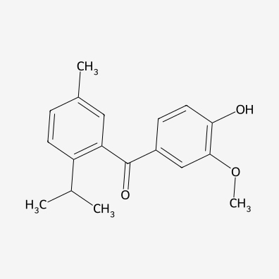 COc1cc(C(=O)c2cc(C)ccc2C(C)C)ccc1O